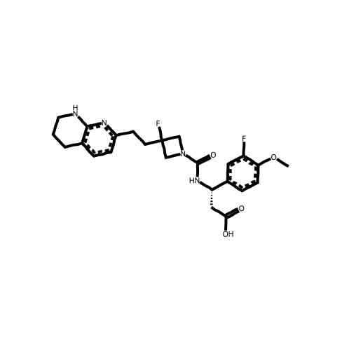 COc1ccc([C@H](CC(=O)O)NC(=O)N2CC(F)(CCc3ccc4c(n3)NCCC4)C2)cc1F